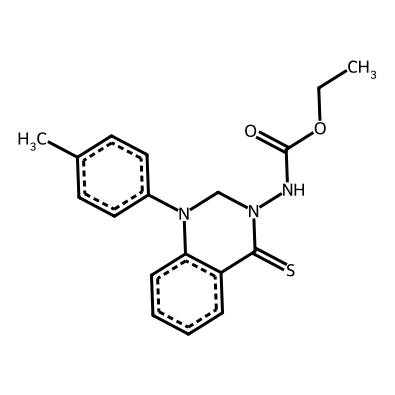 CCOC(=O)NN1CN(c2ccc(C)cc2)c2ccccc2C1=S